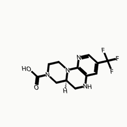 O=C(O)N1CCN2c3ncc(C(F)(F)F)cc3NC[C@H]2C1